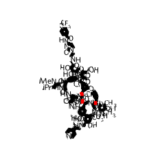 CN[C@H](CC(C)C)C(=O)NC1C(=O)N[C@@H](CC(N)=O)C(=O)N[C@H]2C(=O)N[C@H]3C(=O)N[C@H](C(=O)N[C@@H](C(=O)O)c4cc(O)c(CNCCc5ccncc5)c(O)c4-c4cc3ccc4O)[C@H](OC3C[C@](C)(N)[C@@H](O)[C@H](C)O3)c3ccc(c(Cl)c3)Oc3cc2cc(c3O[C@@H]2O[C@H](CO)[C@@H](O[C@@H]3O[C@H](CNCCn4ccc(NC(=O)c5ccc(OC(F)(F)F)cc5)nc4=O)[C@H](O)[C@H](O)[C@H]3O)[C@H](O)[C@H]2O)Oc2ccc(cc2Cl)[C@H]1O